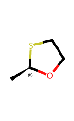 C[C@@H]1OCCS1